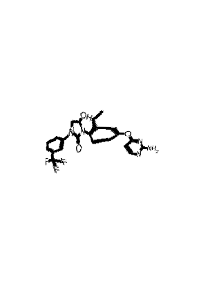 CCc1cc(Oc2ccnc(N)n2)ccc1N1C(=O)N(c2cccc(C(F)(F)F)c2)CC1O